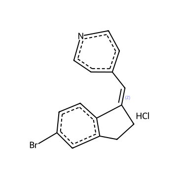 Brc1ccc2c(c1)CC/C2=C/c1ccncc1.Cl